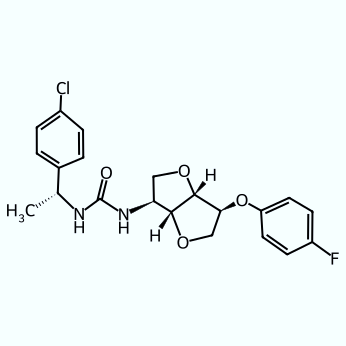 C[C@@H](NC(=O)N[C@H]1CO[C@H]2[C@@H]1OC[C@@H]2Oc1ccc(F)cc1)c1ccc(Cl)cc1